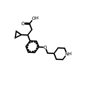 O=C(O)CC(c1cccc(OCC2CCNCC2)c1)C1CC1